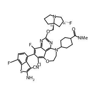 CNC(=O)C1CCC(N2CCOc3c(Cl)c(-c4ccc(F)c5sc(N)c(C#N)c45)c(F)c4nc(OC[C@@]56CCCN5C[C@H](F)C6)nc2c34)CC1